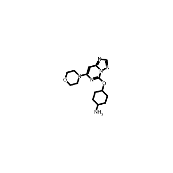 NC1CCC(Oc2nc(N3CCOCC3)cc3ncnn23)CC1